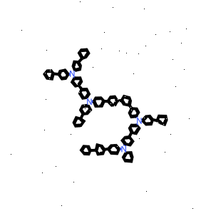 c1ccc(-c2ccc(-c3ccc(N(c4ccccc4)c4ccc(-c5ccc(N(c6ccc(-c7ccccc7)cc6)c6ccc(-c7cccc(-c8ccc(-c9ccc(N(c%10ccc(-c%11ccccc%11)cc%10)c%10ccc(-c%11ccc(N(c%12ccc(-c%13ccccc%13)cc%12)c%12ccc(-c%13ccccc%13)cc%12)cc%11)cc%10)cc9)cc8)c7)cc6)cc5)cc4)cc3)cc2)cc1